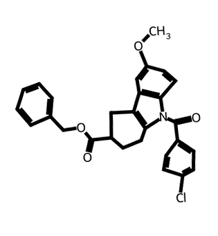 COc1ccc2c(c1)c1c(n2C(=O)c2ccc(Cl)cc2)CCC(C(=O)OCc2ccccc2)C1